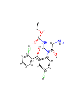 CCOC(=O)NCN(C(=O)CN)c1ccc(Cl)cc1C(=O)c1ccccc1Cl